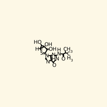 CC(C)C(=O)Nc1nc2c(ncn2[C@@H]2S[C@@H]3C(O)[C@]3(O)[C@H]2O)c(=O)[nH]1